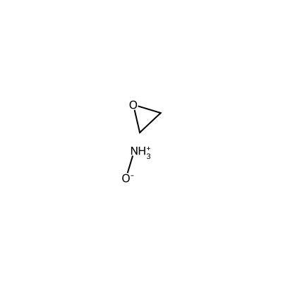 C1CO1.[NH3+][O-]